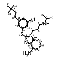 CC(C)NCCCn1c(Sc2cc(Cl)cc(C=CC(C)(C)C)c2)nc2c(N)ncnc21